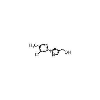 Cc1cnc(-n2cc(CO)cn2)cc1Cl